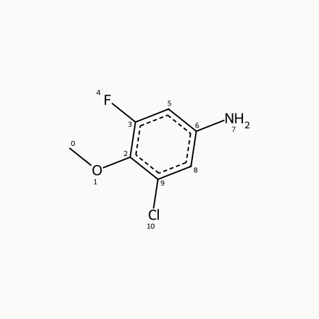 COc1c(F)cc(N)cc1Cl